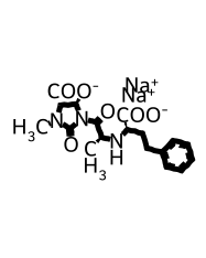 C[C@H](N[C@@H](CCc1ccccc1)C(=O)[O-])C(=O)N1C(=O)N(C)C[C@H]1C(=O)[O-].[Na+].[Na+]